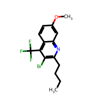 CCCCc1nc2cc(OC)ccc2c(C(F)(F)F)c1Br